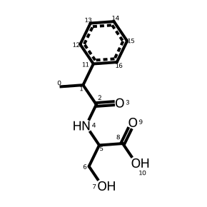 CC(C(=O)NC(CO)C(=O)O)c1ccccc1